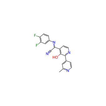 Cc1cc(-c2nccc(/C(C#N)=N/c3ccc(F)c(F)c3)c2O)ccn1